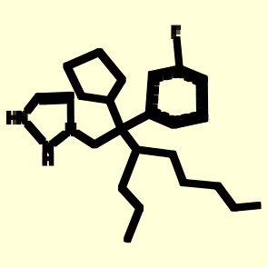 CCCCCC(CCC)C(CN1C=CNN1)(c1cccc(F)c1)C1CCCC1